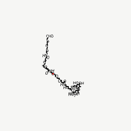 CC1C(OC(CC(=O)O)C(O)C(O)C(O)OCCCCCCNC(=O)CCOCCOCCOCCNC(=O)CCOC[C@@H](C)COCCC(=O)NCCOCCOCCOCCC=O)OC(COS(=O)(=O)O)C(O)C1O